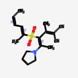 C/C=C\C=C(/C)S(=O)(=O)/C(C(C)=C(C#N)C#N)=C(/C)N1CCCC1